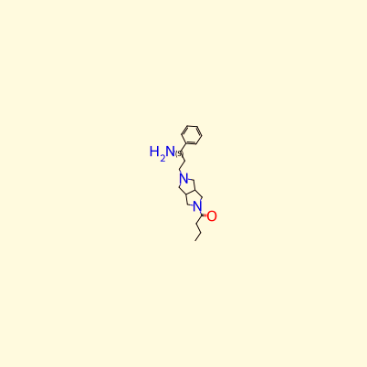 CCCC(=O)N1CC2CN(CC[C@H](N)c3ccccc3)CC2C1